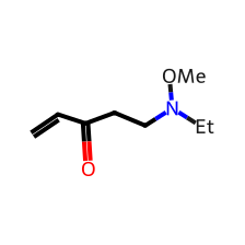 C=CC(=O)CCN(CC)OC